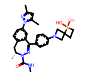 CNC(=O)N1N=C(c2ccc(N3CC4(CCS4(O)O)C3)cc2)c2cc(-n3nc(C)cc3C)ccc2C[C@H]1C